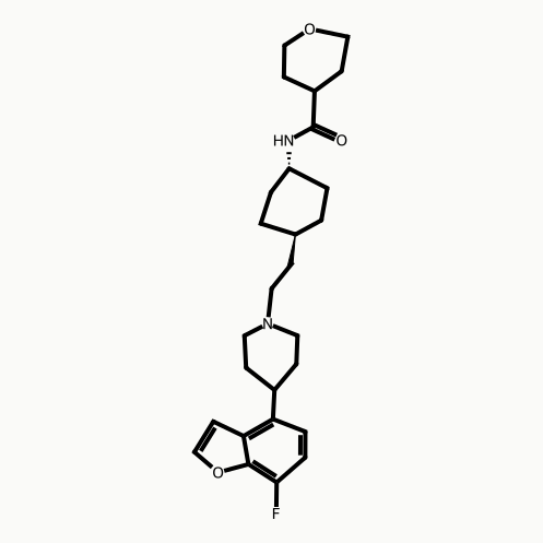 O=C(N[C@H]1CC[C@H](CCN2CCC(c3ccc(F)c4occc34)CC2)CC1)C1CCOCC1